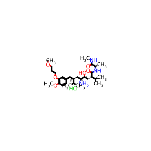 CNC(=O)[C@H](C)NC(=O)[C@@H](C[C@H](O)[C@@H](N)C[C@H](Cc1ccc(OC)c(OCCCOC)c1)C(C)C)C(C)C.Cl